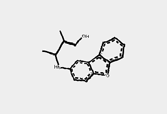 CC(CO)C(C)Nc1ccc2oc3ccccc3c2c1